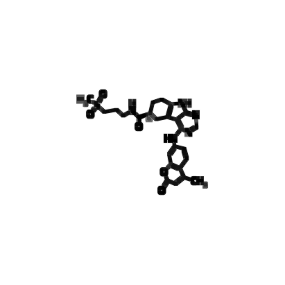 Cc1cc(=O)oc2cc(Nc3ncnc4[nH]c5c(c34)C[C@@H](C(=O)NCCCS(C)(=O)=O)CC5)ccc12